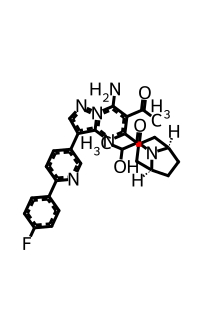 CC(=O)c1c(C2C[C@H]3CC[C@@H](C2)N3C(=O)C(C)O)nc2c(-c3ccc(-c4ccc(F)cc4)nc3)cnn2c1N